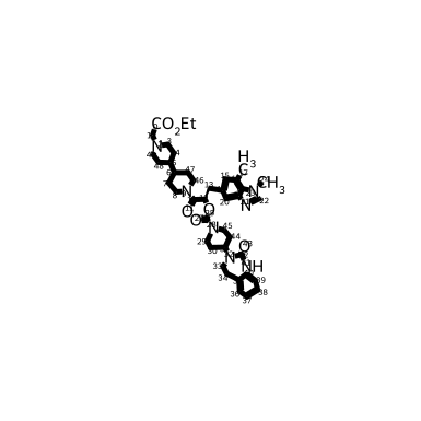 CCOC(=O)CN1CCC(C2CCN(C(=O)[C@@H](Cc3cc(C)c4c(c3)ncn4C)OC(=O)N3CCC(N4CCc5ccccc5NC4=O)CC3)CC2)CC1